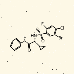 O=C(Nc1ccccc1)[C@H](NS(=O)(=O)c1cc(Br)c(Cl)cc1F)C1CC1